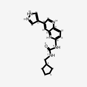 O=C(NCC1CCCC1)Nc1ccc2ncc(-c3cn[nH]c3)cc2n1